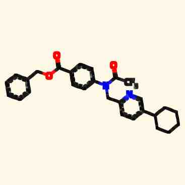 O=C(OCc1ccccc1)c1ccc(N(Cc2ccc(C3CCCCC3)cn2)C(=O)C(F)(F)F)cc1